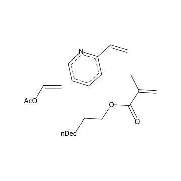 C=C(C)C(=O)OCCCCCCCCCCCC.C=COC(C)=O.C=Cc1ccccn1